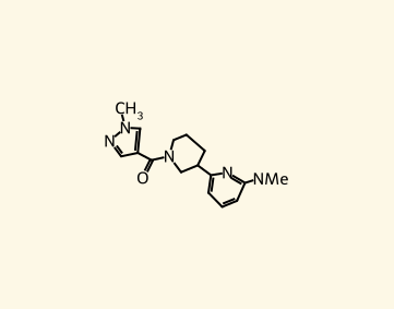 CNc1cccc(C2CCCN(C(=O)c3cnn(C)c3)C2)n1